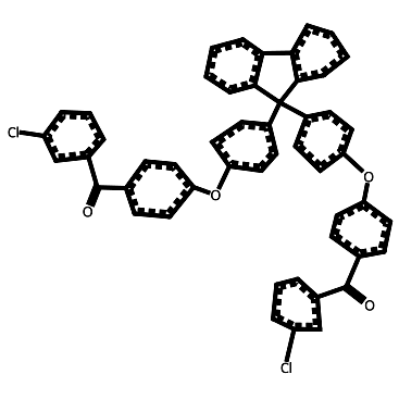 O=C(c1ccc(Oc2ccc(C3(c4ccc(Oc5ccc(C(=O)c6cccc(Cl)c6)cc5)cc4)c4ccccc4-c4ccccc43)cc2)cc1)c1cccc(Cl)c1